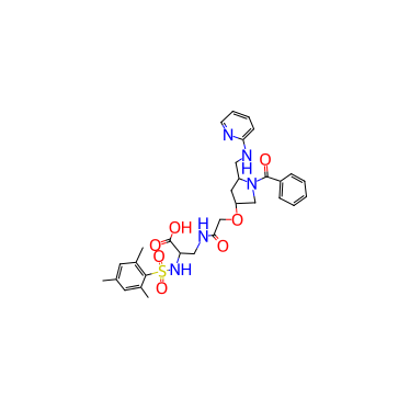 Cc1cc(C)c(S(=O)(=O)NC(CNC(=O)COC2CC(CNc3ccccn3)N(C(=O)c3ccccc3)C2)C(=O)O)c(C)c1